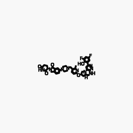 Cc1nc(O[C@@H]2C[C@@H]3CNc4nnc(-c5cc(F)cc(F)c5O)cc4N3C2)ccc1CN1CCN(c2ccc3c(c2)C(=O)N([C@H]2CCC(=O)NC2=O)C3)CC1